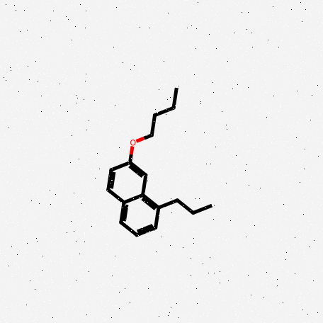 [CH2]CCc1cccc2ccc(OCCCC)cc12